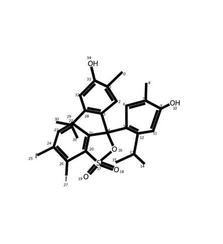 Cc1cc(C2(c3cc(C)c(O)cc3C(C)C)OS(=O)(=O)c3c2ccc(I)c3I)c(C(C)C)cc1O